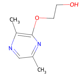 Cc1cnc(C)c(OCCO)n1